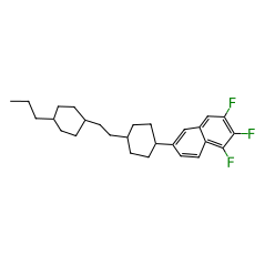 CCCC1CCC(CCC2CCC(c3ccc4c(F)c(F)c(F)cc4c3)CC2)CC1